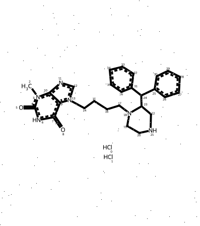 Cl.Cl.Cn1c(=O)[nH]c(=O)c2c1ncn2CCCCN1CCNCC1C(c1ccccc1)c1ccccc1